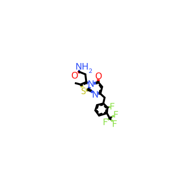 Cc1sc2nc(Cc3cccc(C(F)(F)F)c3F)cc(=O)n2c1CC(N)=O